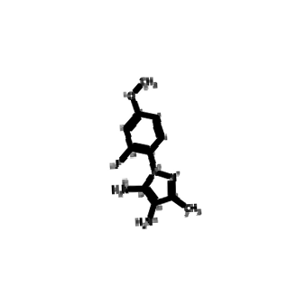 COc1ccc(-n2nc(C)c(N)c2N)c(F)c1